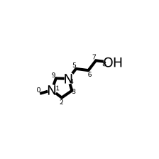 CN1CCN(CCCO)C1